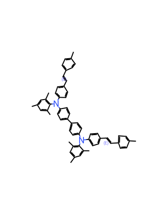 Cc1ccc(/C=C/c2ccc(N(c3ccc(-c4ccc(N(c5ccc(/C=C/c6ccc(C)cc6)cc5)c5c(C)cc(C)cc5C)cc4)cc3)c3c(C)cc(C)cc3C)cc2)cc1